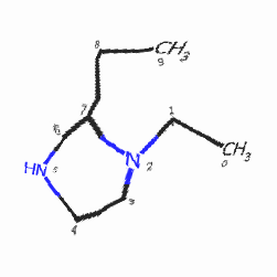 C[CH]N1CCNCC1CC